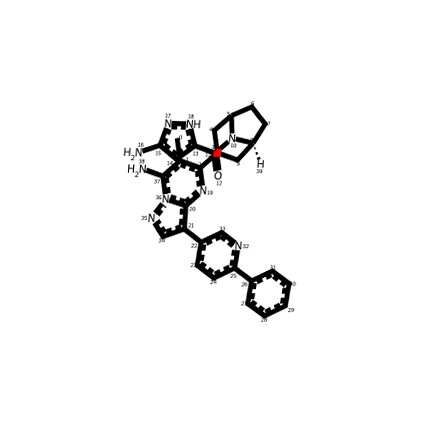 Cc1c(C2CC3CC[C@@H](C2)N3C(=O)c2cc(N)n[nH]2)nc2c(-c3ccc(-c4ccccc4)nc3)cnn2c1N